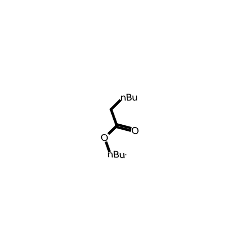 CCC[CH]OC(=O)CCCCC